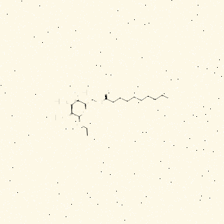 CCCCCCCCCC(=O)OC[C@H]1OC(OCC)[C@H](O)[C@@H](O)[C@@H]1O